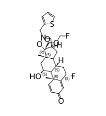 C[C@]12C=CC(=O)C=C1[C@@H](F)C[C@@H]1C2[C@@H](O)C[C@@]2(C)C1C[C@H]1CN(Cc3cccs3)O[C@]12C(=O)OCF